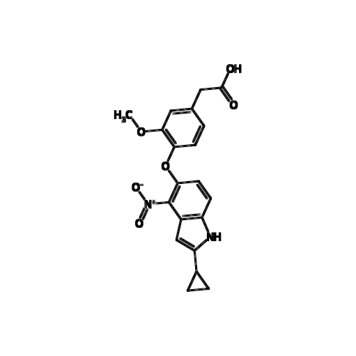 COc1cc(CC(=O)O)ccc1Oc1ccc2[nH]c(C3CC3)cc2c1[N+](=O)[O-]